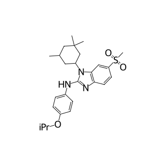 CC1CC(n2c(Nc3ccc(OC(C)C)cc3)nc3ccc(S(C)(=O)=O)cc32)CC(C)(C)C1